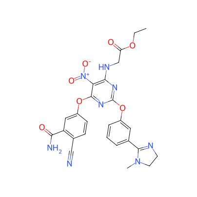 CCOC(=O)CNc1nc(Oc2cccc(C3=NCCN3C)c2)nc(Oc2ccc(C#N)c(C(N)=O)c2)c1[N+](=O)[O-]